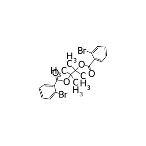 CC(C)(OC(=O)c1ccccc1Br)C(C)(C)OC(=O)c1ccccc1Br